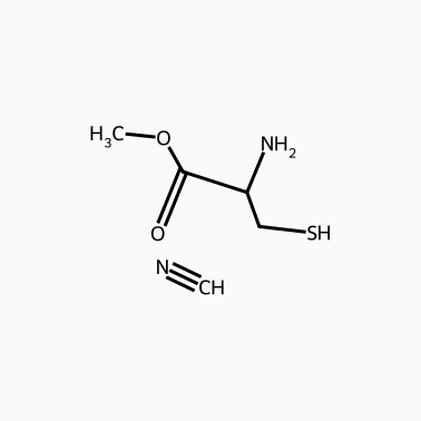 C#N.COC(=O)C(N)CS